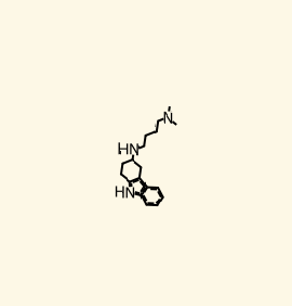 CN(C)CCCCNC1CCc2[nH]c3ccccc3c2C1